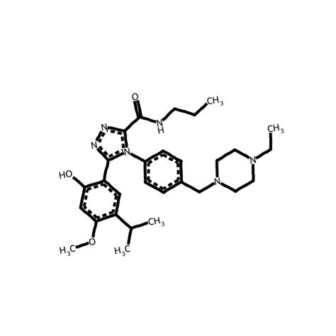 CCCNC(=O)c1nnc(-c2cc(C(C)C)c(OC)cc2O)n1-c1ccc(CN2CCN(CC)CC2)cc1